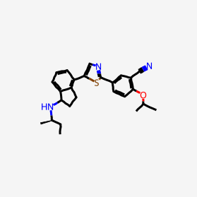 CC[C@@H](C)NC1CCc2c(-c3cnc(-c4ccc(OC(C)C)c(C#N)c4)s3)cccc21